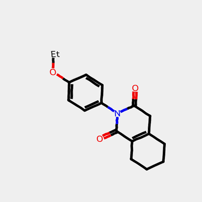 CCOc1ccc(N2C(=O)CC3=C(CCCC3)C2=O)cc1